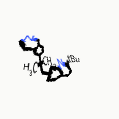 CC(C)(C)c1ccc2ccc(CC(C)(C)c3ccc4cnccc4c3)cc2n1